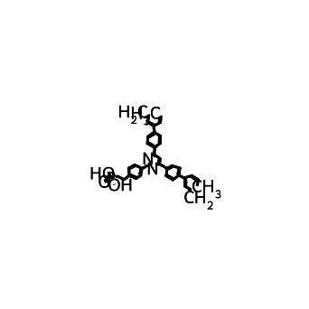 C=C/C=C(\C=C/C)c1ccc(-c2cc(-c3ccc(C(/C=C\C)=C/C=C)cc3)nc(-c3ccc(CCP(=O)(O)O)cc3)n2)cc1